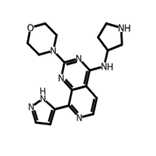 c1cc(-c2nccc3c(NC4CCNC4)nc(N4CCOCC4)nc23)[nH]n1